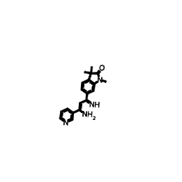 CN1C(=O)C(C)(C)c2ccc(C(=N)/C=C(\N)c3cccnc3)cc21